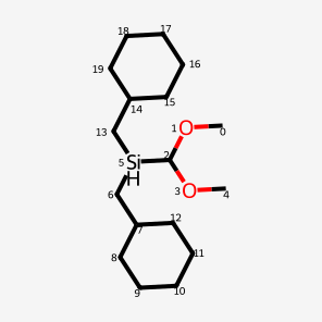 COC(OC)[SiH](CC1CCCCC1)CC1CCCCC1